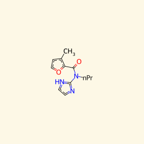 CCCN(C(=O)c1occc1C)c1ncc[nH]1